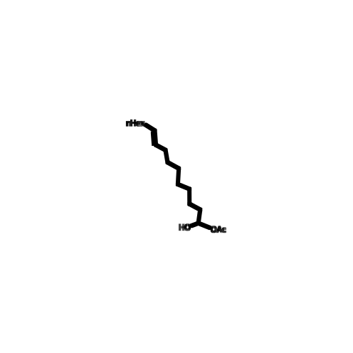 CCCCCCC=CCCCCCCCC(O)OC(C)=O